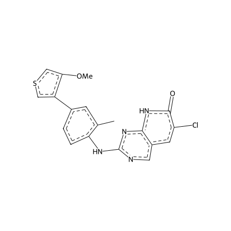 COc1cscc1-c1ccc(Nc2ncc3cc(Cl)c(=O)[nH]c3n2)c(C)c1